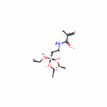 C=C(C)C(=O)NCC[Si](OCC)(OCC)OCC